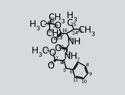 COC(=O)[C@H](Cc1ccccc1)NC(=O)NC(C(=O)OC(C)(C)C)C(C)C